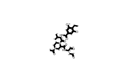 CCc1c(Cl)cc(C(=O)N[C@H](C(=O)N2CCN(C(C)=O)CC2C(=O)N[C@H](C=O)CC=O)C(C)C)cc1Cl